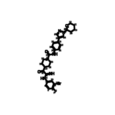 N=C(Nc1ccc(F)c(Br)c1)C(=O)C1CCN(C(=O)Nc2ccc(-c3cnn(C4CCCCO4)c3)cc2)CC1